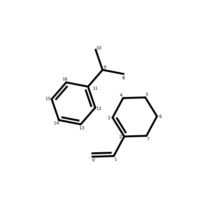 C=CC1=CCCCC1.CC(C)c1ccccc1